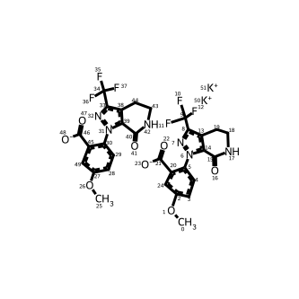 COc1ccc(-n2nc(C(F)(F)F)c3c2C(=O)NCC3)c(C(=O)[O-])c1.COc1ccc(-n2nc(C(F)(F)F)c3c2C(=O)NCC3)c(C(=O)[O-])c1.[K+].[K+]